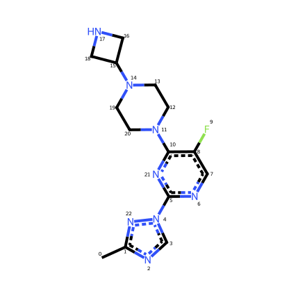 Cc1ncn(-c2ncc(F)c(N3CCN(C4CNC4)CC3)n2)n1